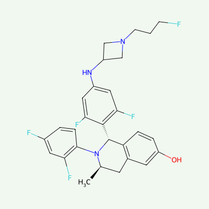 C[C@@H]1Cc2cc(O)ccc2[C@@H](c2c(F)cc(NC3CN(CCCF)C3)cc2F)N1c1ccc(F)cc1F